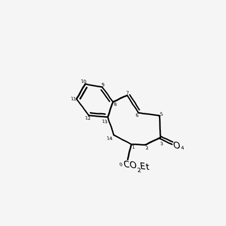 CCOC(=O)C1CC(=O)C/C=C/c2ccccc2C1